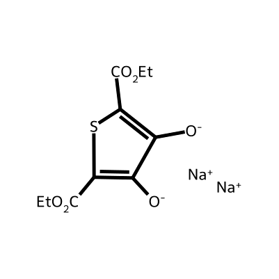 CCOC(=O)c1sc(C(=O)OCC)c([O-])c1[O-].[Na+].[Na+]